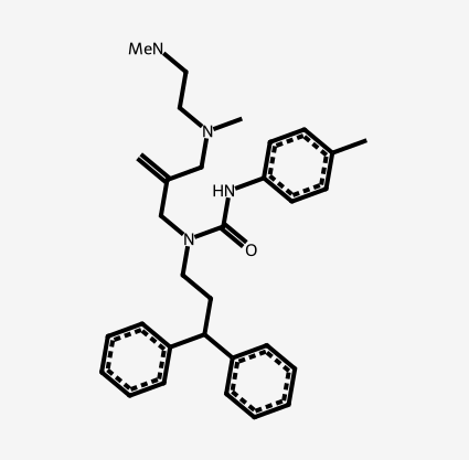 C=C(CN(C)CCNC)CN(CCC(c1ccccc1)c1ccccc1)C(=O)Nc1ccc(C)cc1